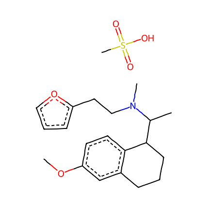 COc1ccc2c(c1)CCCC2C(C)N(C)CCc1ccco1.CS(=O)(=O)O